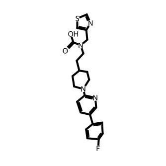 O=C(O)N(CCC1CCN(c2ccc(-c3ccc(F)cc3)cn2)CC1)Cc1cscn1